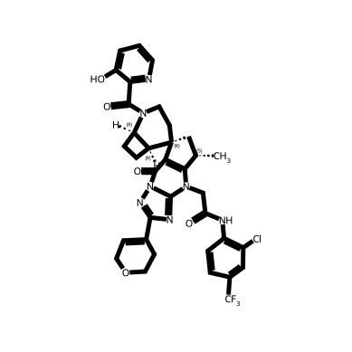 C[C@H]1C[C@]2(CCN(C(=O)c3ncccc3O)[C@@H]3CC[C@@H]32)c2c1n(CC(=O)Nc1ccc(C(F)(F)F)cc1Cl)c1nc(C3=CCOCC3)nn1c2=O